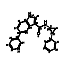 O=C(N[C@@H]1C[C@@H]1c1ccccc1)c1n[nH]c2ccc(-c3cccnc3)cc12